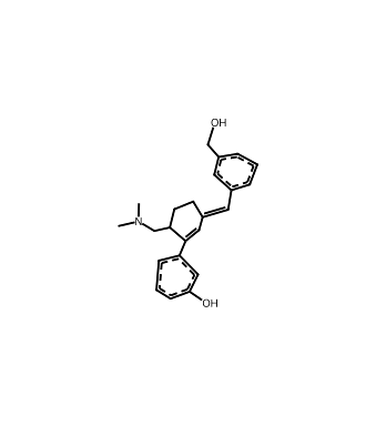 CN(C)CC1CC/C(=C\c2cccc(CO)c2)C=C1c1cccc(O)c1